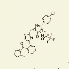 CC1CCCN1C(=O)c1ccccc1-n1cnc(Cn2nc(-c3ccc(Cl)cc3)n(C[C@H](O)C(F)(F)F)c2=O)n1